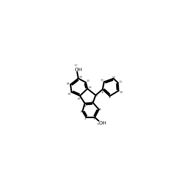 Oc1ccc2c(c1)C(c1ccccc1)c1cc(O)ccc1-2